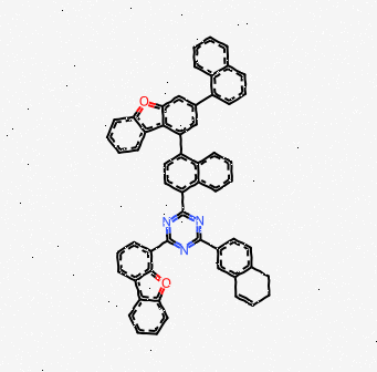 C1=Cc2cc(-c3nc(-c4ccc(-c5cc(-c6cccc7ccccc67)cc6oc7ccccc7c56)c5ccccc45)nc(-c4cccc5c4oc4ccccc45)n3)ccc2CC1